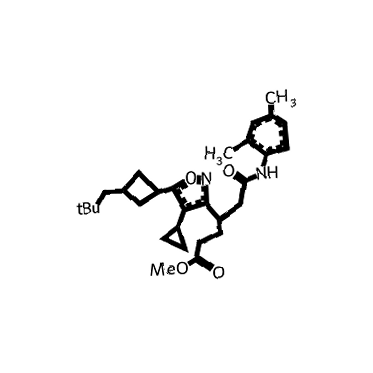 COC(=O)CCC(CC(=O)Nc1ccc(C)cc1C)c1noc(C2CC(CC(C)(C)C)C2)c1C1CC1